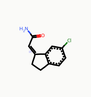 NC(=O)/C=C1/CCc2ccc(Cl)cc21